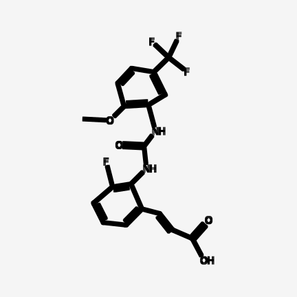 COc1ccc(C(F)(F)F)cc1NC(=O)Nc1c(F)cccc1C=CC(=O)O